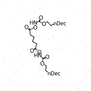 CCCCCCCCCCCCOC(=O)NOC(=O)CCCCC(=O)ONC(=O)OCCCCCCCCCCCC